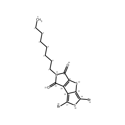 CCCCCCCCN1C(=O)c2sc3c(Br)sc(Br)c3c2C1=O